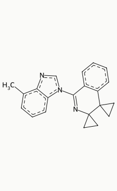 Cc1cccc2c1ncn2C1=NC2(CC2)C2(CC2)c2ccccc21